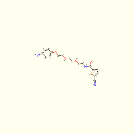 N#Cc1ccc(C(=O)NCCOCCOCCOc2ccc(N)cc2)s1